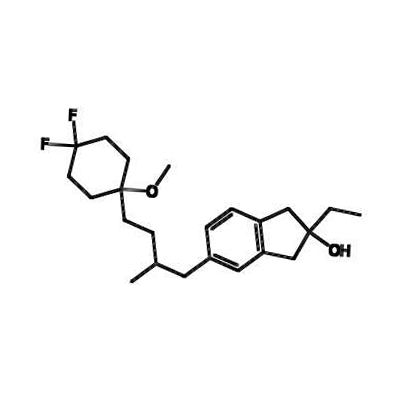 CCC1(O)Cc2ccc(CC(C)CCC3(OC)CCC(F)(F)CC3)cc2C1